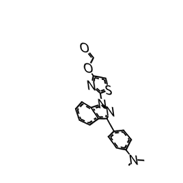 CN(C)c1ccc(-c2nn(-c3nc(OC=O)cs3)c3ccccc23)cc1